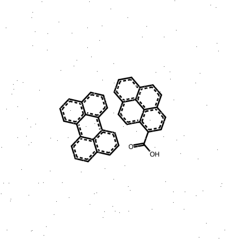 O=C(O)c1ccc2ccc3cccc4ccc1c2c34.c1cc2cccc3c4cccc5cccc(c(c1)c23)c54